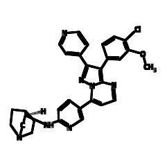 COc1cc(-c2c(-c3ccncc3)nn3c(-c4ccc(N[C@H]5CN6CCC5CC6)nc4)ccnc23)ccc1Cl